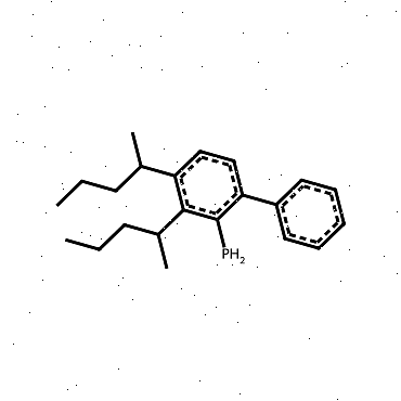 CCCC(C)c1ccc(-c2ccccc2)c(P)c1C(C)CCC